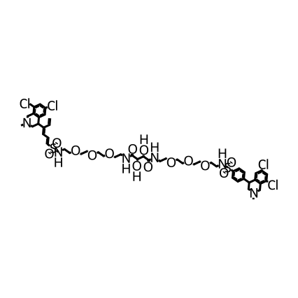 C=C/C(=C\C=C\S(=O)(=O)NCCOCCOCCOCCNC(=O)C(O)C(O)C(=O)NCCOCCOCCOCCNS(=O)(=O)c1ccc(C2CN(C)Cc3c(Cl)cc(Cl)cc32)cc1)C1CN(C)Cc2c(Cl)cc(Cl)cc21